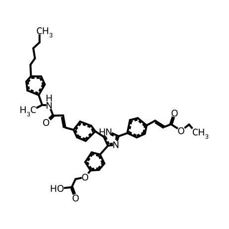 CCCCCc1ccc(C(C)NC(=O)C=Cc2ccc(-c3[nH]c(-c4ccc(C=CC(=O)OCC)cc4)nc3-c3ccc(OCC(=O)O)cc3)cc2)cc1